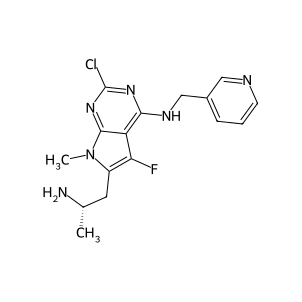 C[C@H](N)Cc1c(F)c2c(NCc3cccnc3)nc(Cl)nc2n1C